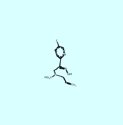 C=CCN(CC(=NO)c1ccc(F)cn1)C(=O)O